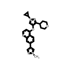 Cn1cc(-c2ccc3c(Oc4cn(C5CC5)nc4C4CCOCC4)ccnc3c2)cn1